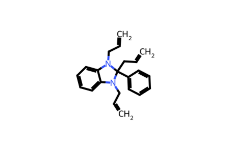 C=CCN1c2ccccc2N(CC=C)C1(CC=C)c1ccccc1